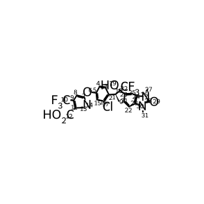 C[C@@H](c1ccc(Oc2cc(C(F)(F)F)c(C(=O)O)cn2)cc1Cl)[C@](O)(c1ccc2c(c1)n(C)c(=O)n2C)C(F)(F)F